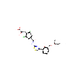 CCC(CC)OCc1cccc(-c2csc(NC(=O)c3cc(Cl)c(/C=C(\OC)C(=O)O)c(Cl)c3)n2)c1OC